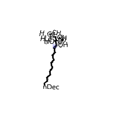 CCCCCCCCCCCCCCCCCCCC/C=C/C(O)(C[N+](C)(C)C)P(=O)(O)O